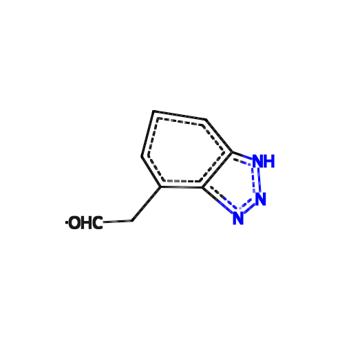 O=[C]Cc1cccc2[nH]nnc12